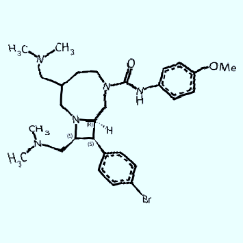 COc1ccc(NC(=O)N2CCC(CN(C)C)CN3[C@H](CN(C)C)[C@H](c4ccc(Br)cc4)[C@@H]3C2)cc1